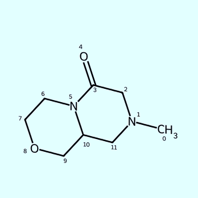 CN1CC(=O)N2CCOCC2C1